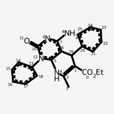 CCOC(=O)C1=C(C)Nc2c(c(N)nc(=O)n2-c2ccccc2)C1c1ccccc1